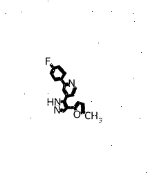 Cc1ccc(-c2cn[nH]c2-c2ccnc(-c3ccc(F)cc3)c2)o1